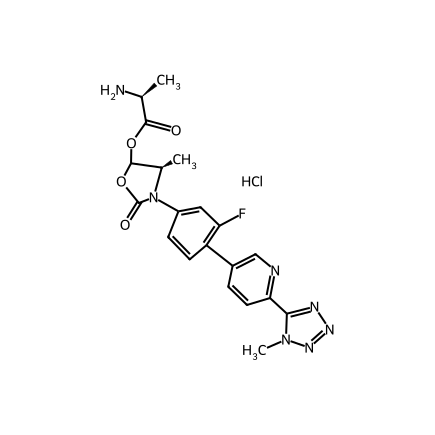 C[C@H](N)C(=O)OC1OC(=O)N(c2ccc(-c3ccc(-c4nnnn4C)nc3)c(F)c2)[C@@H]1C.Cl